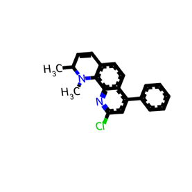 CC1C=Cc2ccc3c(-c4ccccc4)cc(Cl)nc3c2N1C